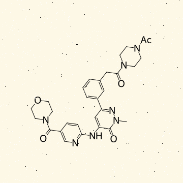 CC(=O)N1CCN(C(=O)Cc2cccc(-c3cc(Nc4ccc(C(=O)N5CCOCC5)cn4)c(=O)n(C)n3)c2)CC1